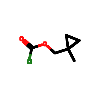 CC1(COC(=O)Cl)CC1